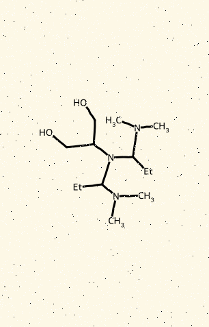 CCC(N(C)C)N(C(CO)CO)C(CC)N(C)C